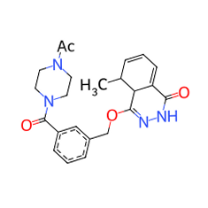 CC(=O)N1CCN(C(=O)c2cccc(COC3=NNC(=O)C4=CC=CC(C)C43)c2)CC1